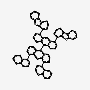 c1ccc2c(-c3cccc4c(-c5c6cccc(-c7cccc8c7sc7ccccc78)c6cc6c(-c7cccc8c7sc7ccccc78)cccc56)c5cccc(-c6cccc7ccccc67)c5cc34)cccc2c1